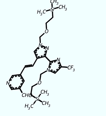 C[Si](C)(C)CCOCn1cc(C=Cc2cncc(C=O)c2)c(-c2nc(C(F)(F)F)cn2COCC[Si](C)(C)C)n1